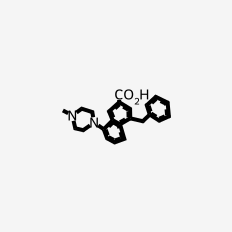 CN1CCN(c2cccc3c(Cc4ccccc4)cc(C(=O)O)cc23)CC1